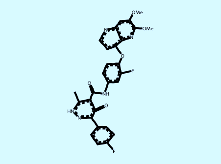 COc1cc2nccc(Oc3ccc(NC(=O)c4c(C)[nH]nc(-c5ccc(F)cc5)c4=O)cc3F)c2nc1OC